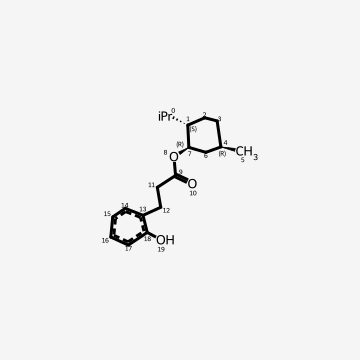 CC(C)[C@@H]1CC[C@@H](C)C[C@H]1OC(=O)CCc1ccccc1O